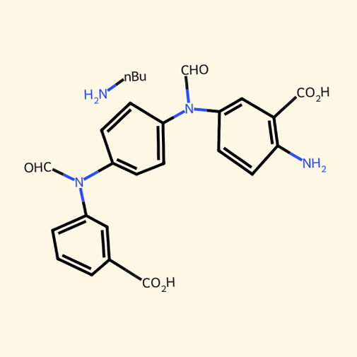 CCCCN.Nc1ccc(N(C=O)c2ccc(N(C=O)c3cccc(C(=O)O)c3)cc2)cc1C(=O)O